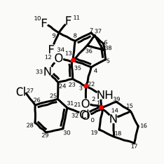 O=C(NCc1cccc(C(F)(F)F)c1)N1C2CCC1CC(OCc1c(-c3c(Cl)cccc3Cl)noc1C1CC1)C2